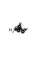 CCOc1ccccc1Cn1c2cc(F)c[c]c2c2c(C(N)=O)cccc21